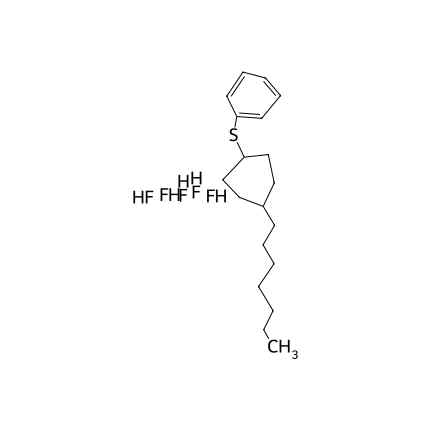 CCCCCCCC1CCC(Sc2ccccc2)CC1.F.F.F.F.F